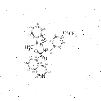 Cc1c(N(Cc2ccc(OC(F)(F)F)cc2)S(=O)(=O)c2cccc3cnccc23)sc2ccccc12